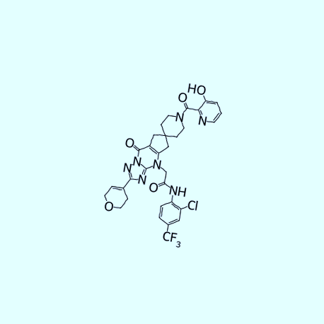 O=C(Cn1c2c(c(=O)n3nc(C4=CCOCC4)nc13)CC1(CCN(C(=O)c3ncccc3O)CC1)C2)Nc1ccc(C(F)(F)F)cc1Cl